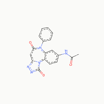 CC(=O)Nc1ccc2c(c1)n(-c1ccccc1)c(=O)cc1nnc(=O)n2-1